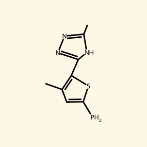 Cc1nnc(-c2sc(P)cc2C)[nH]1